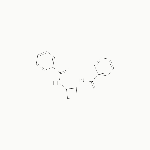 O=C(NC1CCC1NC(=O)c1ccccc1)c1ccccc1